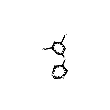 Clc1cc(Br)cc(Oc2cncnc2)c1